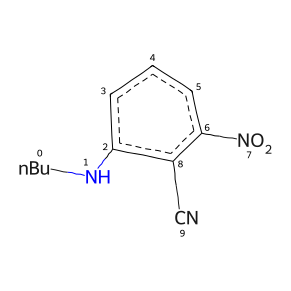 CCCCNc1cccc([N+](=O)[O-])c1C#N